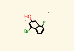 Oc1cc(Br)c2cccc(F)c2c1